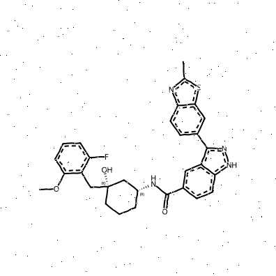 COc1cccc(F)c1C[C@]1(O)CCC[C@@H](NC(=O)c2ccc3[nH]nc(-c4ccc5nc(C)sc5c4)c3c2)C1